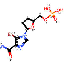 NC(=O)c1ncn([C@H]2CC[C@@H](COP(=O)(O)O)O2)c1Br